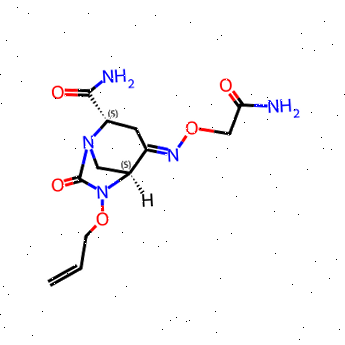 C=CCON1C(=O)N2C[C@H]1C(=NOCC(N)=O)C[C@H]2C(N)=O